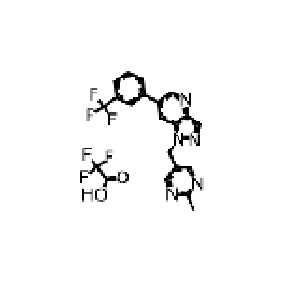 Cc1ncc(Cn2ncc3ncc(-c4cccc(C(F)(F)F)c4)cc32)cn1.O=C(O)C(F)(F)F